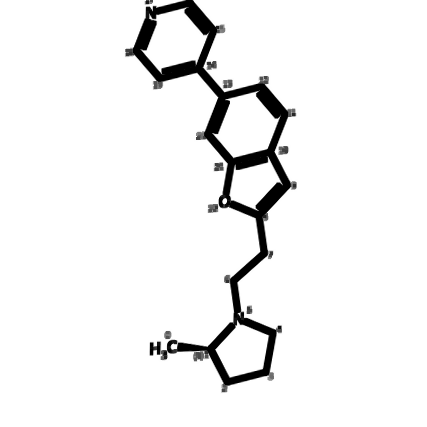 C[C@@H]1CCCN1CCc1cc2ccc(-c3ccncc3)cc2o1